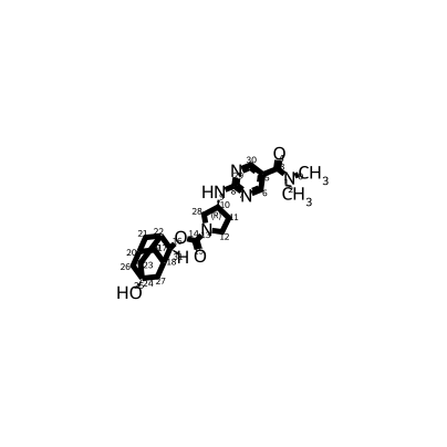 CN(C)C(=O)c1cnc(N[C@@H]2CCN(C(=O)O[C@H]3C4CC5CC3C[C@](O)(C5)C4)C2)nc1